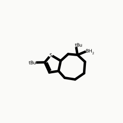 BC1(C(C)(C)C)CCCCC2C=C(C(C)(C)C)SC2C1